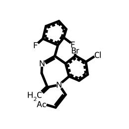 C=C1CN=C(c2c(F)cccc2F)c2c(ccc(Cl)c2Br)N1/C=C\C(C)=O